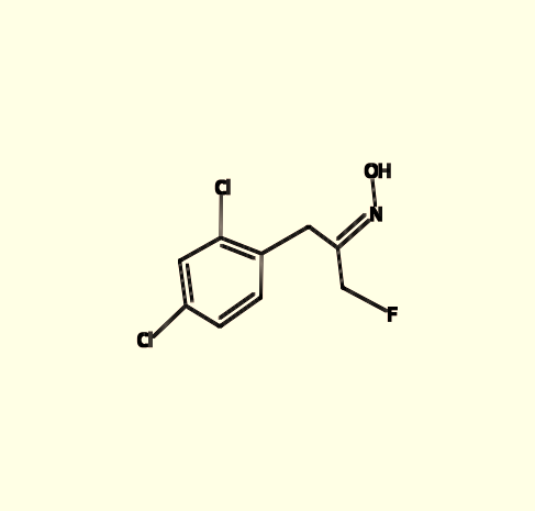 O/N=C(/CF)Cc1ccc(Cl)cc1Cl